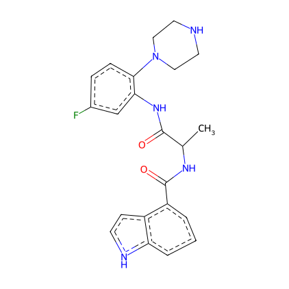 CC(NC(=O)c1cccc2[nH]ccc12)C(=O)Nc1cc(F)ccc1N1CCNCC1